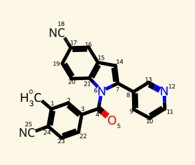 Cc1cc(C(=O)n2c(-c3cccnc3)cc3cc(C#N)ccc32)ccc1C#N